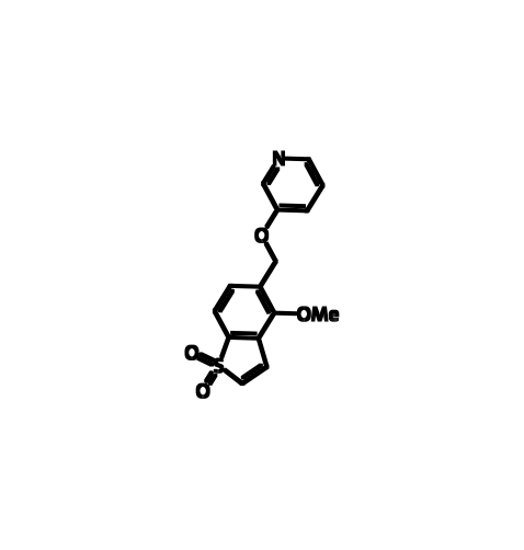 COc1c(COc2cccnc2)ccc2c1C=CS2(=O)=O